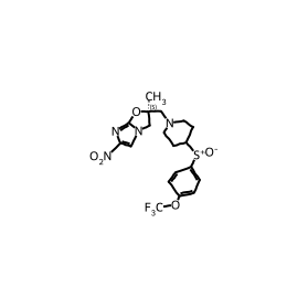 C[C@]1(CN2CCC([S+]([O-])c3ccc(OC(F)(F)F)cc3)CC2)Cn2cc([N+](=O)[O-])nc2O1